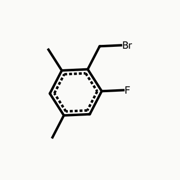 Cc1cc(C)c(CBr)c(F)c1